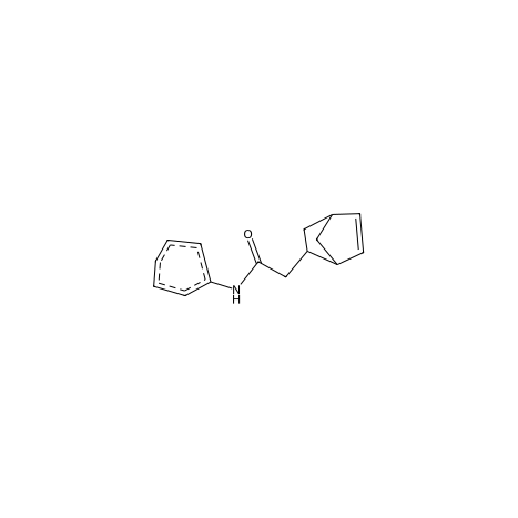 O=C(CC1CC2C=CC1C2)Nc1ccccc1